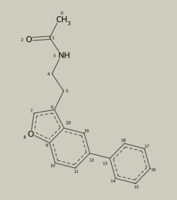 CC(=O)NCCc1coc2ccc(-c3ccccc3)cc12